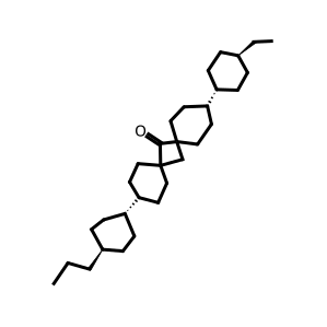 CCC[C@H]1CC[C@H](C2CCC3(CC2)CC2(CCC([C@H]4CC[C@H](CC)CC4)CC2)C3=O)CC1